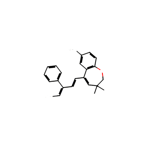 COc1ccc2c(c1)C(/C=C/C(=C/C(=O)O)c1ccccc1)=CC(C)(C)CO2